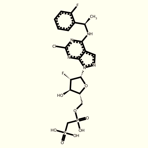 C[C@@H](Nc1nc(Cl)nc2c1cnn2[C@@H]1O[C@H](COP(=O)(O)CP(=O)(O)O)[C@@H](O)[C@@H]1F)c1ccccc1F